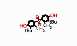 Cc1c(S(=O)(=O)c2ccc(O)c(C(C)(C)C)c2C)ccc(O)c1C(C)(C)C